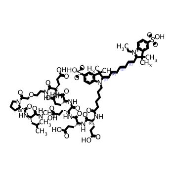 CC[N+]1=C(/C=C/C=C/C=C/C=C2/N(CCCCCC(=O)N[C@H](CCC(=O)O)C(=O)N[C@H](CCC(=O)O)C(=O)N[C@H](CCC(=O)O)C(=O)N[C@H](CCC(=O)O)C(=O)N[C@H](CCC(=O)O)C(=O)NCCOCC(=O)N3CCC[C@H]3C(=O)N[C@@H](CC(C)C)C(=O)NC)c3ccc(S(=O)(=O)O)cc3C2(C)C)C(C)(C)c2cc(S(=O)(=O)O)ccc21